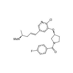 CN[C@@H](C)CC=Cc1cnc(Cl)c(O[C@H]2CCN(C(=O)c3ccc(F)cc3)C2)c1